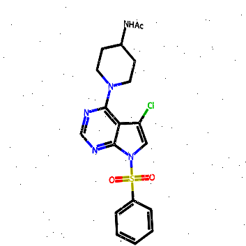 CC(=O)NC1CCN(c2ncnc3c2c(Cl)cn3S(=O)(=O)c2ccccc2)CC1